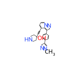 Cn1cc(-c2ccc(-c3cnn4cccc(C#CC5(O)CCNCC5)c34)cc2)cn1